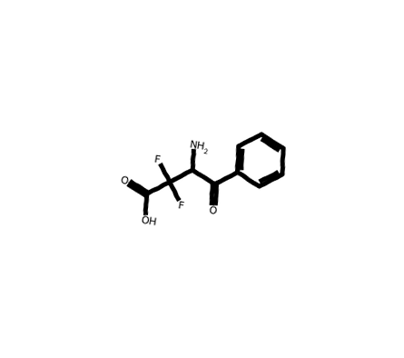 NC(C(=O)c1ccccc1)C(F)(F)C(=O)O